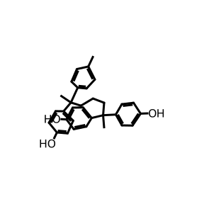 Cc1ccc(C(C)(CCCC(C)(c2ccc(O)cc2)c2ccc(O)cc2)c2ccc(O)cc2)cc1